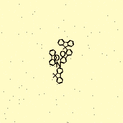 CC1(C)c2ccccc2-c2ccc(N(c3ccc4c(c3)oc3c(C5(C)c6ccccc6-c6ccccc65)cccc34)c3cccc4c3oc3ccccc34)cc21